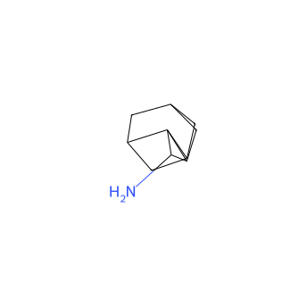 NC1C2CC3CC4CC(C3)C412